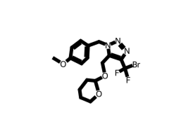 COc1ccc(Cn2nnc(C(F)(F)Br)c2COC2CCCCO2)cc1